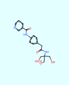 O=C(Cc1ccc(NC(=O)c2cccnc2)cc1)NC(CO)(CO)CO